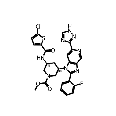 COC(=O)N1C[C@@H](NC(=O)c2ccc(Cl)s2)C[C@@H](n2c(-c3ccccc3F)nc3cnc(-c4nc[nH]n4)cc32)C1